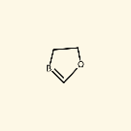 B1=COCC1